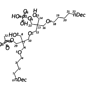 CCCCCCCCCCCCCCOCC(CO)(COCC(CO)(COCCCCCCCCCCCCCC)COP(=O)(O)O)COP(C)(=O)O